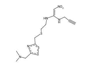 C#CCNC(=C[N+](=O)[O-])NCCSCc1nc(CN(C)C)cs1